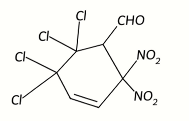 O=CC1C([N+](=O)[O-])([N+](=O)[O-])C=CC(Cl)(Cl)C1(Cl)Cl